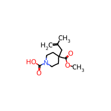 C=C(C)CC1(C(=O)OC)CCN(C(=O)O)CC1